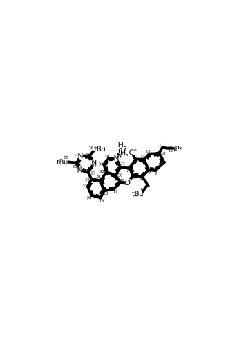 Cc1c2c(c(CC(C)(C)C)c3ccc(CC(C)C)cc13)Oc1cc3cccc(-c4nc(C(C)(C)C)nc(C(C)(C)C)n4)c3c3cc[n+](C)c-2c13